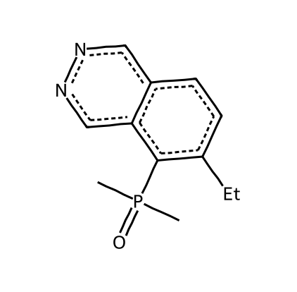 CCc1ccc2cnncc2c1P(C)(C)=O